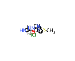 CCSc1cccn2c(C(C)(C)NC(=O)C3[C@H]4CNC[C@@H]34)ncc12.Cl